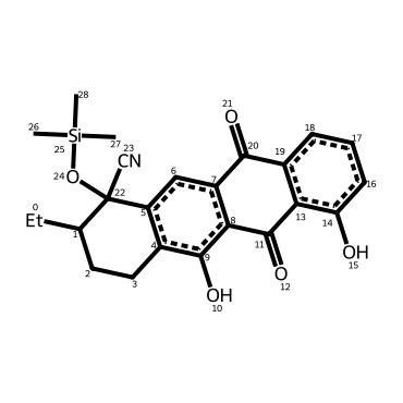 CCC1CCc2c(cc3c(c2O)C(=O)c2c(O)cccc2C3=O)C1(C#N)O[Si](C)(C)C